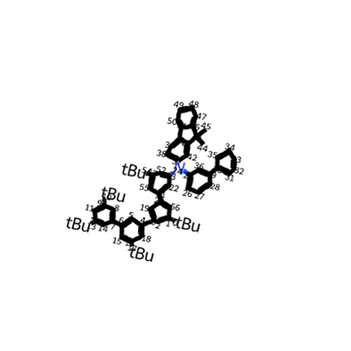 CC(C)(C)c1cc(-c2cc(-c3cc(C(C)(C)C)cc(C(C)(C)C)c3)cc(C(C)(C)C)c2)cc(-c2cc(N(c3cccc(-c4ccccc4)c3)c3ccc4c(c3)C(C)(C)c3ccccc3-4)cc(C(C)(C)C)c2)c1